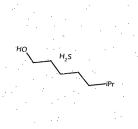 CC(C)CCCCCO.S